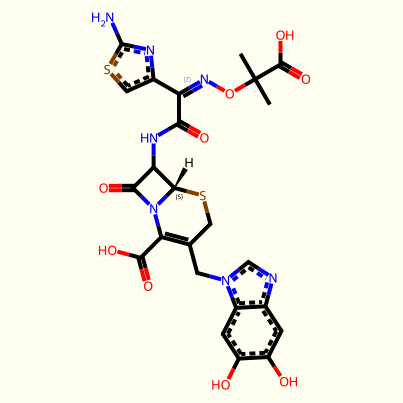 CC(C)(O/N=C(\C(=O)NC1C(=O)N2C(C(=O)O)=C(Cn3cnc4cc(O)c(O)cc43)CS[C@@H]12)c1csc(N)n1)C(=O)O